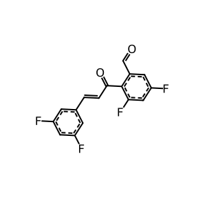 O=Cc1cc(F)cc(F)c1C(=O)C=Cc1cc(F)cc(F)c1